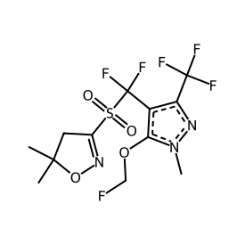 Cn1nc(C(F)(F)F)c(C(F)(F)S(=O)(=O)C2=NOC(C)(C)C2)c1OCF